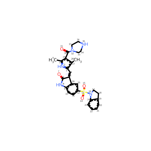 Cc1[nH]c(/C=C2\C(=O)Nc3ccc(S(=O)(=O)N4CCc5ccccc54)cc32)c(C)c1C(=O)N1CCNCC1